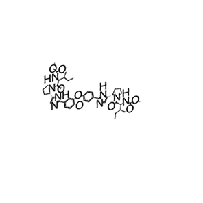 CC[C@H](C)[C@H](NC(=O)OC)C(=O)N1CCC[C@H]1c1cnc(-c2ccc3c(c2)Oc2ccc(-c4ncc([C@@H]5CCCN5C(=O)[C@@H](NC(=O)OC)[C@@H](C)CC)[nH]4)cc2O3)[nH]1